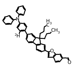 [2H]c1cc(N(c2ccccc2)c2ccccc2)ccc1-c1ccc2c(c1)C(CCCC)(CCCC)c1cc(-c3cc4ccc(C=O)cc4o3)ccc1-2